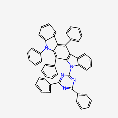 c1ccc(-c2nc(-c3ccccc3)nc(-n3c4ccccc4c4c(-c5ccccc5)c5c6ccccc6n(-c6ccccc6)c5c(-c5ccccc5)c43)n2)cc1